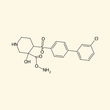 NOC(=O)C1(O)CNCCC1S(=O)(=O)c1ccc(-c2cccc(Cl)c2)cc1